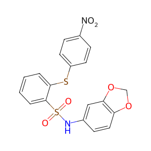 O=[N+]([O-])c1ccc(Sc2ccccc2S(=O)(=O)Nc2ccc3c(c2)OCO3)cc1